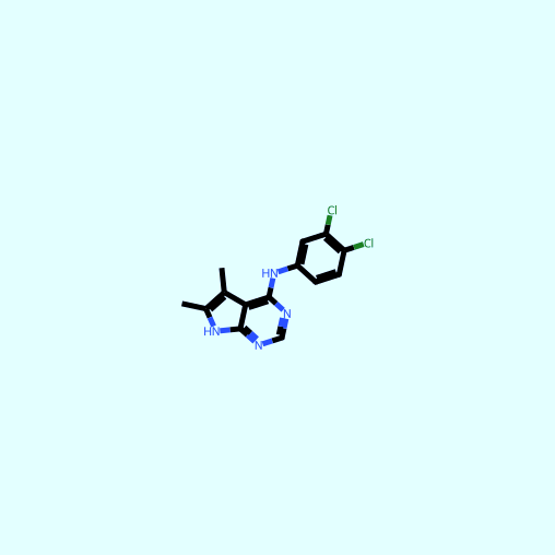 Cc1[nH]c2ncnc(Nc3ccc(Cl)c(Cl)c3)c2c1C